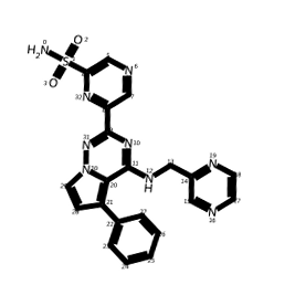 NS(=O)(=O)c1cncc(-c2nc(NCc3cnccn3)c3c(-c4ccccc4)ccn3n2)n1